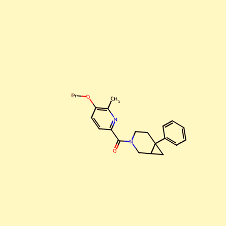 Cc1nc(C(=O)N2CCC3(c4ccccc4)CC3C2)ccc1OC(C)C